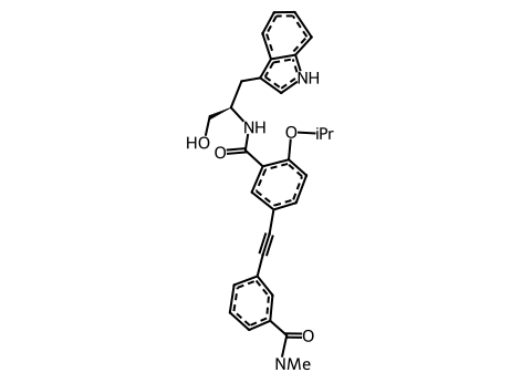 CNC(=O)c1cccc(C#Cc2ccc(OC(C)C)c(C(=O)N[C@@H](CO)Cc3c[nH]c4ccccc34)c2)c1